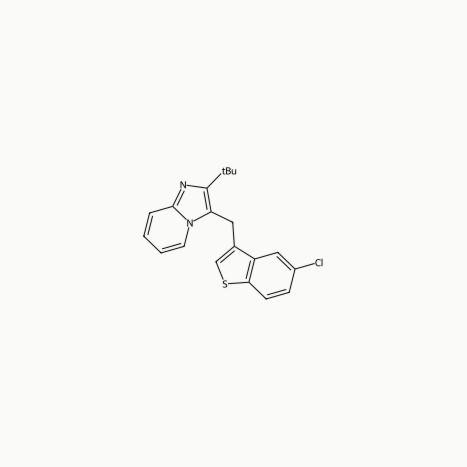 CC(C)(C)c1nc2ccccn2c1Cc1csc2ccc(Cl)cc12